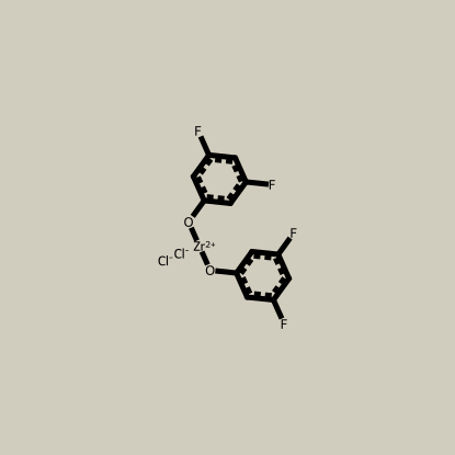 Fc1cc(F)cc([O][Zr+2][O]c2cc(F)cc(F)c2)c1.[Cl-].[Cl-]